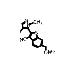 COCc1ccc2c(C#N)c(-c3c(I)cnn3C)sc2c1